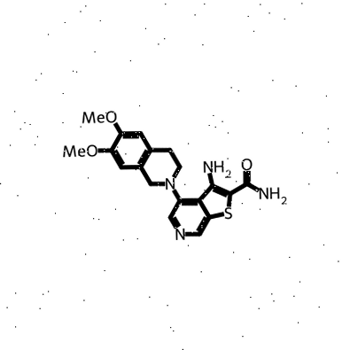 COc1cc2c(cc1OC)CN(c1cncc3sc(C(N)=O)c(N)c13)CC2